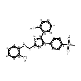 CS(=O)(=O)c1ccc(-c2sc(COc3ccccc3Cl)nc2-c2ccccc2F)cc1